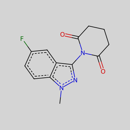 Cn1nc(N2C(=O)CCCC2=O)c2cc(F)ccc21